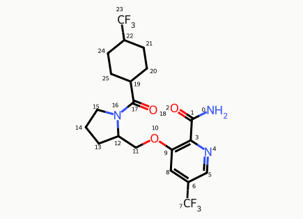 NC(=O)c1ncc(C(F)(F)F)cc1OCC1CCCN1C(=O)C1CCC(C(F)(F)F)CC1